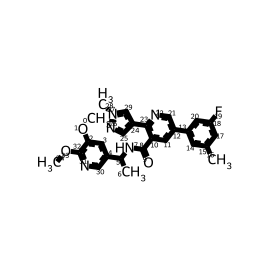 COc1cc(C(C)NC(=O)c2cc(-c3cc(C)cc(F)c3)cnc2-c2cnn(C)c2)cnc1OC